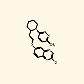 Cc1ccc(N2CCCCC2CCOc2ccc3nc(Cl)cnc3c2)nn1